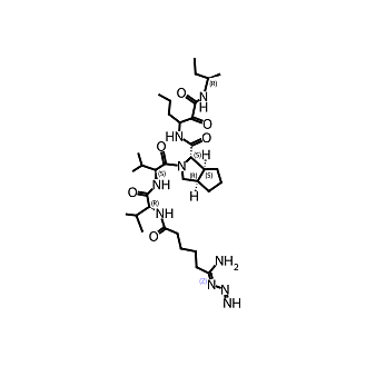 CCCC(NC(=O)[C@@H]1[C@H]2CCC[C@H]2CN1C(=O)[C@@H](NC(=O)[C@H](NC(=O)CCCC/C(N)=N/N=N)C(C)C)C(C)C)C(=O)C(=O)N[C@H](C)CC